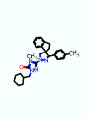 Cc1ccc(C2=NN(c3nn(CC4CCCCC4)c(=O)n3C)C[C@@]23CCc2ccccc23)cc1